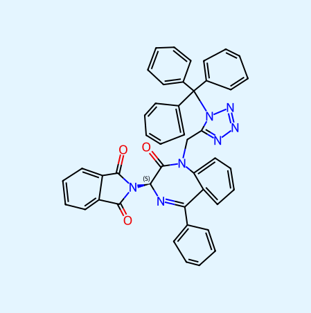 O=C1[C@H](N2C(=O)c3ccccc3C2=O)N=C(c2ccccc2)c2ccccc2N1Cc1nnnn1C(c1ccccc1)(c1ccccc1)c1ccccc1